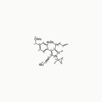 C=C/C=C(/NC)c1c(-c2ccc(COC)cc2)c(C#CC(C)(C)C)n(C2(C)CC2)c1C